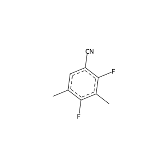 Cc1cc(C#N)c(F)c(C)c1F